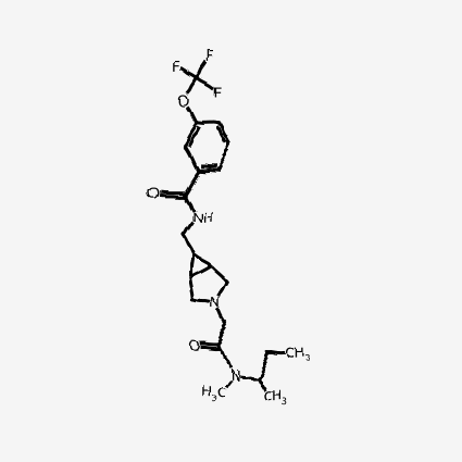 CCC(C)N(C)C(=O)CN1CC2C(CNC(=O)c3cccc(OC(F)(F)F)c3)C2C1